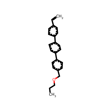 C=Cc1ccc(-c2ccc(-c3ccc(COCCC)cc3)cc2)cc1